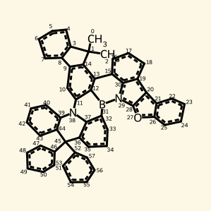 CC1(C)c2ccccc2-c2cc3c4c(c21)-c1cccc2c5c6ccccc6oc5n(c12)B4c1cccc2c1N3c1ccccc1C2(c1ccccc1)c1ccccc1